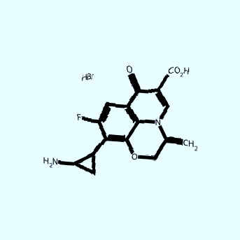 Br.C=C1COc2c(C3CC3N)c(F)cc3c(=O)c(C(=O)O)cn1c23